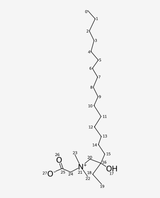 CCCCCCCCCCCCCCCCC(O)(CC)C[N+](C)(C)CC(=O)[O-]